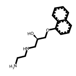 NCCNC[C@@H](O)COc1cccc2ccccc12